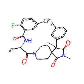 Cc1cccc(C2(C)C(=O)N(C)C(=O)C23CCN(C(=O)[C@H](NC(=O)c2cc(C(F)(F)F)ccc2F)C(C)C)CC3)c1